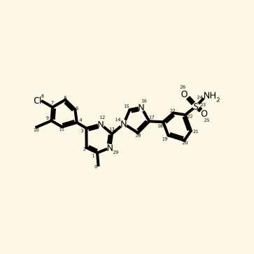 Cc1cc(-c2ccc(Cl)c(C)c2)nc(-n2cnc(-c3cccc(S(N)(=O)=O)c3)c2)n1